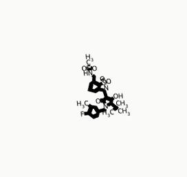 Cc1cc(CN2C(=O)C(C3=NS(=O)(=O)c4c(CNS(C)(=O)=O)cccc43)=C(O)C2C(C)(C)C)ccc1F